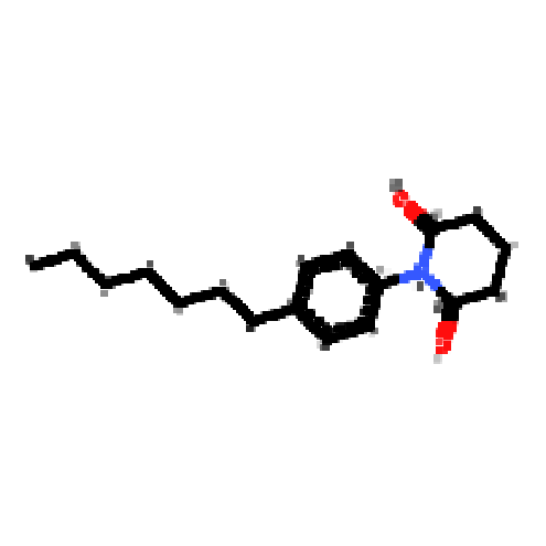 CCCCCCCc1ccc(N2C(=O)CCCC2=O)cc1